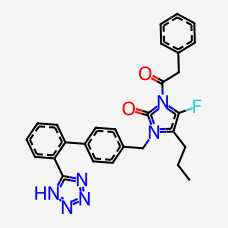 CCCc1c(F)n(C(=O)Cc2ccccc2)c(=O)n1Cc1ccc(-c2ccccc2-c2nnn[nH]2)cc1